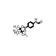 CC1(C)OB(c2ccc(NC=O)cc2)OC1(C)C